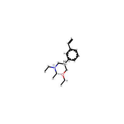 C=Cc1cccc([SiH](COCC)CN(CC)CC)c1